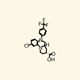 O=C(O)[C@@H]1CCN2c3cc(Cl)ccc3N(c3ccc(C(F)(F)F)cc3)C[C@@H]2C1